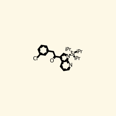 CC(C)[Si](C(C)C)(C(C)C)n1cc(C(=O)Cc2cccc(Cl)c2)c2cccnc21